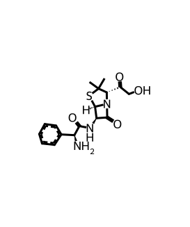 CC1(C)S[C@@H]2[C@H](NC(=O)[C@@H](N)c3ccccc3)C(=O)N2[C@H]1C(=O)CO